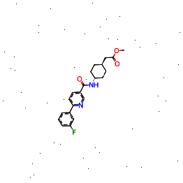 COC(=O)C[C@H]1CC[C@H](NC(=O)c2ccc(-c3cccc(F)c3)nc2)CC1